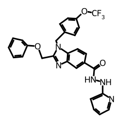 O=C(NNc1ccccn1)c1ccc2c(c1)nc(COc1ccccc1)n2Cc1ccc(OC(F)(F)F)cc1